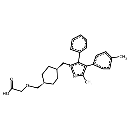 Cc1ccc(-c2c(C)nn(C[C@H]3CC[C@@H](COCC(=O)O)CC3)c2-c2ccccc2)cc1